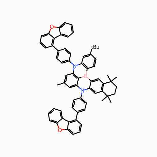 Cc1cc2c3c(c1)N(c1ccc(-c4cccc5oc6ccccc6c45)cc1)c1cc4c(cc1B3c1ccc(C(C)(C)C)cc1N2c1ccc(-c2cccc3oc5ccccc5c23)cc1)C(C)(C)CCC4(C)C